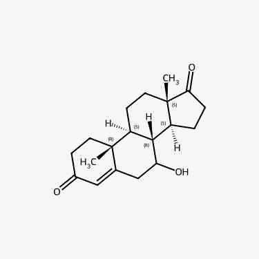 C[C@]12CCC(=O)C=C1CC(O)[C@@H]1[C@@H]2CC[C@]2(C)C(=O)CC[C@@H]12